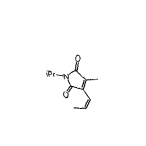 C/C=C\C1=C(C)C(=O)N(C(C)C)C1=O